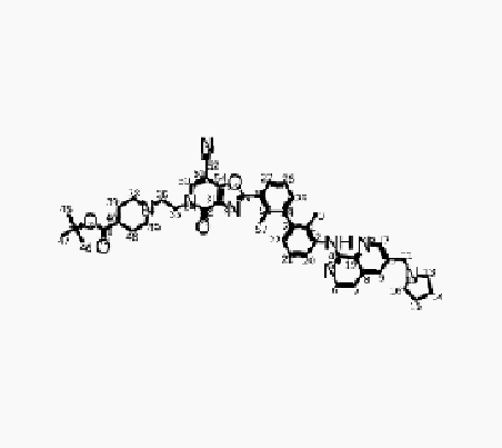 Cc1c(Nc2nccc3cc(CN4CCCC4)cnc23)cccc1-c1cccc(-c2nc3c(=O)n(CCN4CCC(C(=O)OC(C)(C)C)CC4)cc(C#N)c3o2)c1C